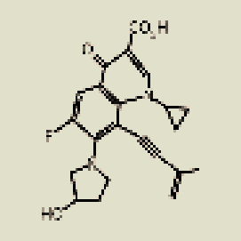 C=C(C)C#Cc1c(N2CCC(O)C2)c(F)cc2c(=O)c(C(=O)O)cn(C3CC3)c12